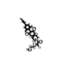 CC#Cc1cc(C)c(C2C(=O)CC3(CCN(C(=O)C(C)OCCOC)CC3)CC2=O)c(C)c1